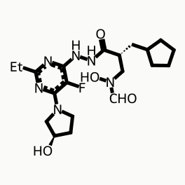 CCc1nc(NNC(=O)[C@H](CC2CCCC2)CN(O)C=O)c(F)c(N2CC[C@@H](O)C2)n1